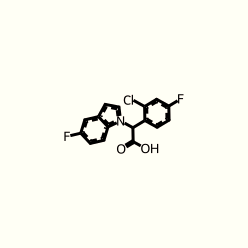 O=C(O)C(c1ccc(F)cc1Cl)n1ccc2cc(F)ccc21